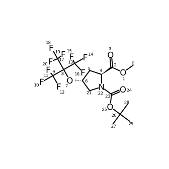 COC(=O)[C@@H]1C[C@@H](OC(C(F)(F)F)(C(F)(F)F)C(F)(F)F)CN1C(=O)OC(C)(C)C